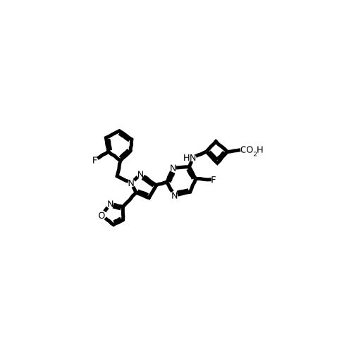 O=C(O)C1=C=C(Nc2nc(-c3cc(-c4ccon4)n(Cc4ccccc4F)n3)ncc2F)C1